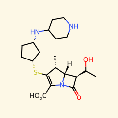 CC(O)[C@H]1C(=O)N2C(C(=O)O)=C(S[C@@H]3CC[C@H](NC4CCNCC4)C3)[C@H](C)[C@H]12